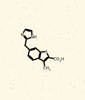 Cc1c(C(=O)O)sc2cc(Cc3ncc[nH]3)ccc12